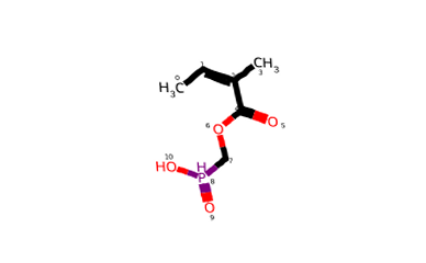 CC=C(C)C(=O)OC[PH](=O)O